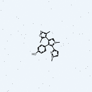 Cc1noc(C)c1-c1cn(C)c(-c2ccn(C)n2)c1-c1ccc(O)cc1